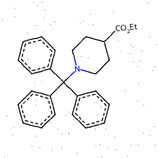 CCOC(=O)C1CCN(C(c2ccccc2)(c2ccccc2)c2ccccc2)CC1